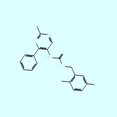 Cc1ncc(NC(=O)NCc2cc(F)ccc2C)c(-c2ccccc2)n1